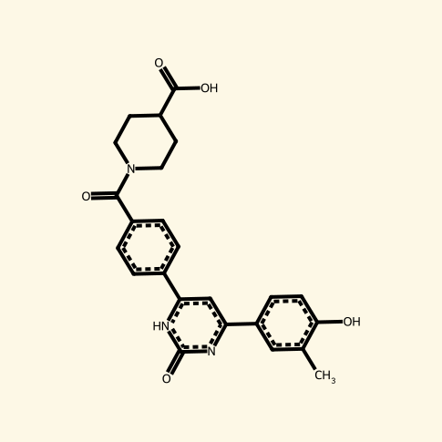 Cc1cc(-c2cc(-c3ccc(C(=O)N4CCC(C(=O)O)CC4)cc3)[nH]c(=O)n2)ccc1O